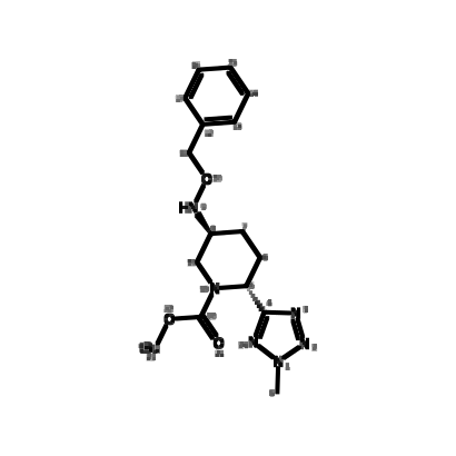 Cn1nnc([C@H]2CC[C@H](NOCc3ccccc3)CN2C(=O)OC(C)(C)C)n1